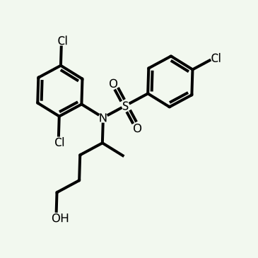 CC(CCCO)N(c1cc(Cl)ccc1Cl)S(=O)(=O)c1ccc(Cl)cc1